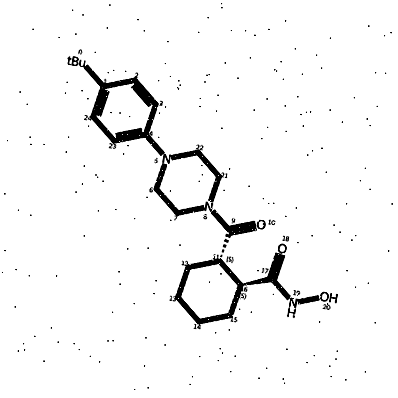 CC(C)(C)c1ccc(N2CCN(C(=O)[C@H]3CC[CH]C[C@@H]3C(=O)NO)CC2)cc1